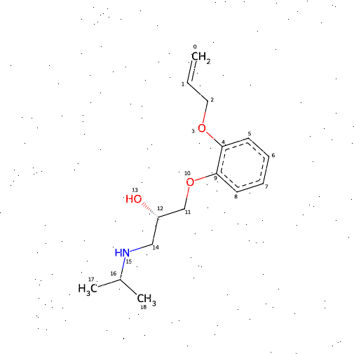 C=CCOc1ccccc1OC[C@@H](O)CNC(C)C